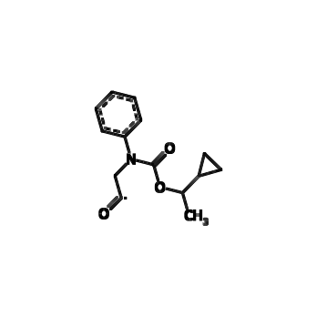 CC(OC(=O)N(C[C]=O)c1ccccc1)C1CC1